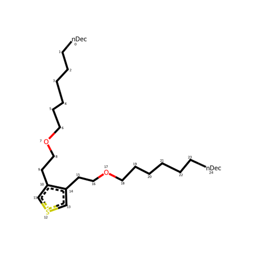 CCCCCCCCCCCCCCCCOCCc1cscc1CCOCCCCCCCCCCCCCCCC